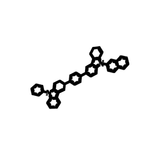 C1=Cc2c(c3cc(-c4ccc(C5C=c6c(n(-c7ccccc7)c7ccccc67)=CC5)cc4)ccc3n2-c2ccc3ccccc3c2)CC1